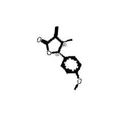 C=C1C(=O)O[C@H](c2ccc(OC)cc2)[C@@H]1C